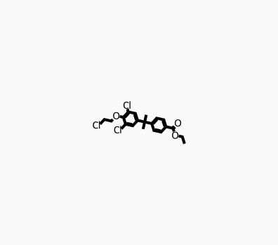 CCOC(=O)c1ccc(C(C)(C)c2cc(Cl)c(OCCCl)c(Cl)c2)cc1